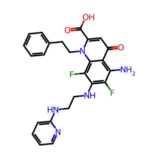 Nc1c(F)c(NCCNc2ccccn2)c(F)c2c1c(=O)cc(C(=O)O)n2CCc1ccccc1